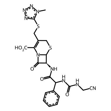 Cn1nnnc1SCC1=C(C(=O)O)N2C(=O)[C@H](NC(=O)C(NC(=O)NCC#N)c3ccccc3)C2SC1